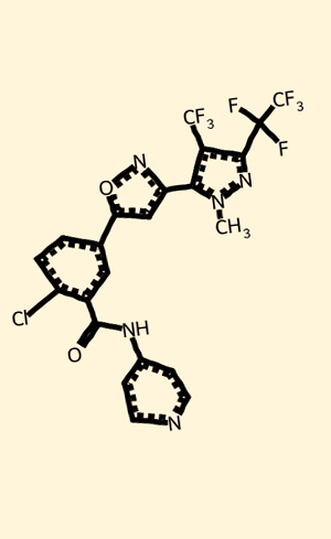 Cn1nc(C(F)(F)C(F)(F)F)c(C(F)(F)F)c1-c1cc(-c2ccc(Cl)c(C(=O)Nc3ccncc3)c2)on1